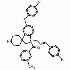 Cc1cc(C(=O)[N+]2(C/C=C/c3ccc(F)cc3)CC3(CCNCC3)c3cc(Sc4ccc(F)cc4)ccc32)ccn1